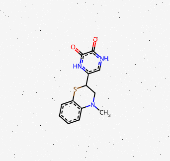 CN1CC(c2c[nH]c(=O)c(=O)[nH]2)Sc2ccccc21